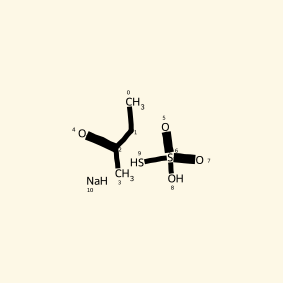 CCC(C)=O.O=S(=O)(O)S.[NaH]